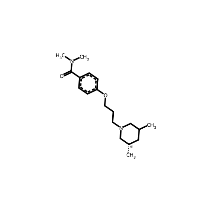 CC1C[C@H](C)CN(CCCOc2ccc(C(=O)N(C)C)cc2)C1